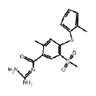 Cc1ccccc1Sc1cc(C)c(C(=O)N=C(N)N)cc1S(C)(=O)=O